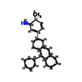 CC1C=CC(c2ccc3c(-c4ccccc4)c4ccccc4cc3c2)=CC1=N